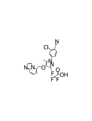 Cc1nn(-c2ccc(C#N)c(Cl)c2)c(C)c1OCc1cccc2nccn12.O=C(O)C(F)(F)F